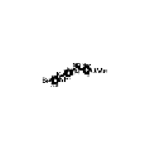 COc1ccc(-c2nc(-c3ccc(-c4nc5cc(Br)ccc5[nH]4)cc3)no2)cc1